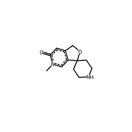 Cn1cc2c(cc1=O)COC21CCNCC1